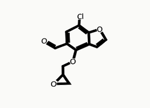 O=Cc1cc(Cl)c2occc2c1OCC1CO1